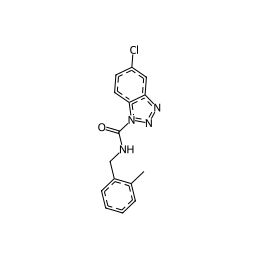 Cc1ccccc1CNC(=O)n1nnc2cc(Cl)ccc21